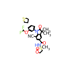 C1CCSC1.CC1(C)C(=O)N(c2cccc(OC(F)F)c2)c2c(C#N)cc(C(=O)NS3(C)CCOO3)cc21